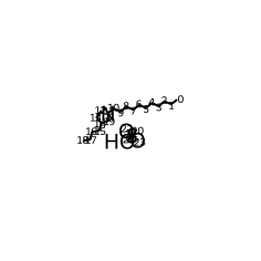 CCCCCCCCCCCN1CCC(CCCC)C1.CS(=O)(=O)O